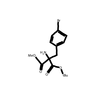 COC(=O)C(N)(Cc1ccc(Br)cc1)C(=O)OC(C)(C)C